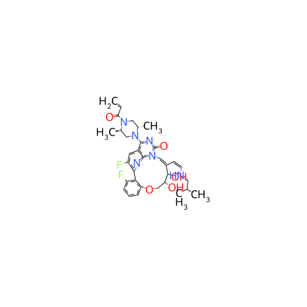 C=CC(=O)N1C[C@H](C)N(c2nc(=O)n3c4nc(c(F)cc24)-c2c(F)cccc2OCC(O)C(O)C(/C=C\NCC(C)C)=C\3)C[C@H]1C